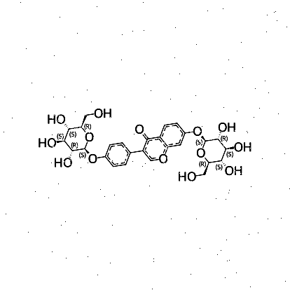 O=c1c(-c2ccc(O[C@@H]3O[C@H](CO)[C@@H](O)[C@H](O)[C@H]3O)cc2)coc2cc(O[C@@H]3O[C@H](CO)[C@@H](O)[C@H](O)[C@H]3O)ccc12